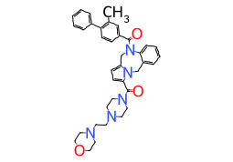 Cc1cc(C(=O)N2Cc3ccc(C(=O)N4CCN(CCN5CCOCC5)CC4)n3Cc3ccccc32)ccc1-c1ccccc1